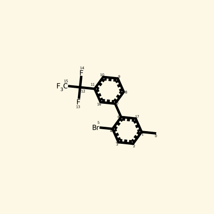 Cc1c[c]c(Br)c(-c2cccc(C(F)(F)C(F)(F)F)c2)c1